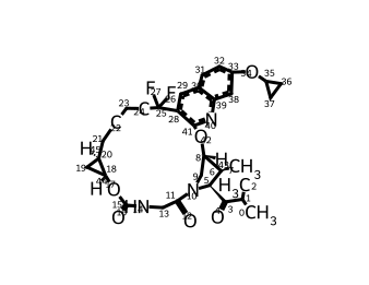 CC(C)C(=O)[C@@H]1[C@H](C)[C@@H]2CN1C(=O)CNC(=O)O[C@@H]1C[C@H]1CCCCC(F)(F)c1cc3ccc(OC4CC4)cc3nc1O2